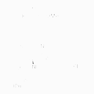 COC(=O)c1cc2c(cc1F)SC[C@H](NC(=O)OC(C)(C)C)C(=O)N2Cc1ccc(Cl)c(F)c1